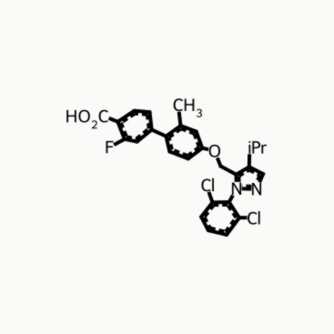 Cc1cc(OCc2c(C(C)C)cnn2-c2c(Cl)cccc2Cl)ccc1-c1ccc(C(=O)O)c(F)c1